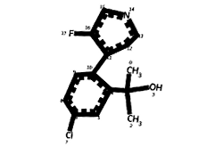 CC(C)(O)c1cc(Cl)ccc1-c1ccncc1F